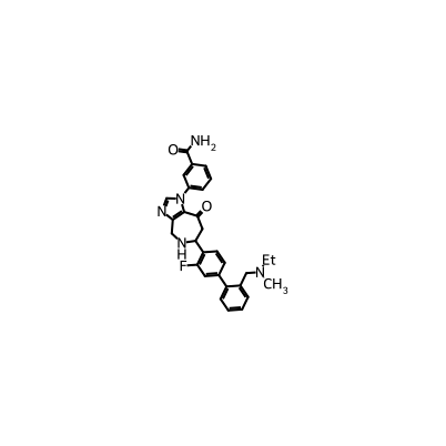 CCN(C)Cc1ccccc1-c1ccc(C2CC(=O)c3c(ncn3-c3cccc(C(N)=O)c3)CN2)c(F)c1